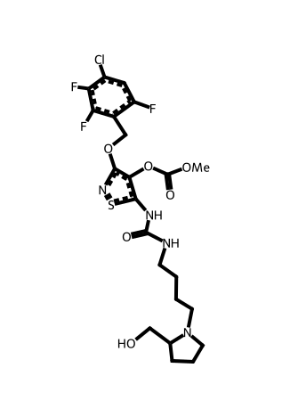 COC(=O)Oc1c(OCc2c(F)cc(Cl)c(F)c2F)nsc1NC(=O)NCCCCN1CCCC1CO